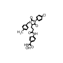 Cc1ccc(CN2C(=O)N(c3ccc(Cl)cc3)C(=O)C2CCC(=O)Nc2ccc(C(=O)NO)cc2)cc1